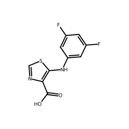 O=C(O)c1ncsc1Nc1cc(F)cc(F)c1